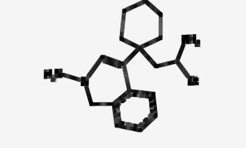 CCC(N)CC1(C2=CN(N)Cc3ccccc32)CCCCC1